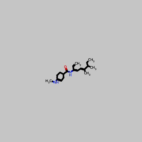 C=C/C(=C\C=C(/C)C(C)CC)NC(=O)C1CC=C(NC)CC1